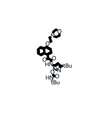 CC(C)(C)NC(=O)On1nc(C(C)(C)C)cc1NC(=O)C(=O)c1ccc(OCCN2CCOCC2)c2ccccc12